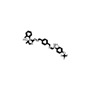 Cc1ccccc1N1/C(=N/N=C/c2ccc(C/N=C\N(N)c3ccc(OC(F)(F)F)cc3)cc2)SCC1(C)O